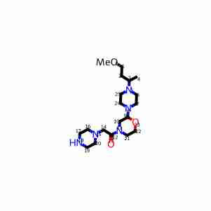 COCCC(C)N1CCN(C2CN(C(=O)CN3CCNCC3)CCO2)CC1